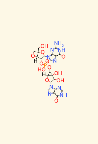 Nc1nc2c(ncn2[C@@H]2O[C@@]3(CO)CO[C@H]3[C@H]2OP(=O)(O)OC2[C@H]3O[C@@H](n4cnc5c(=O)[nH]cnc54)[C@H](O)[C@@]23O)c(=O)[nH]1